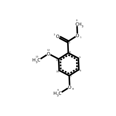 COC(=O)c1c[c]c(OC)cc1OC